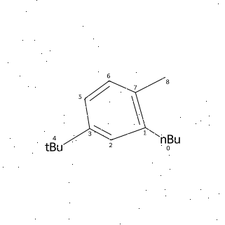 CCCCc1cc(C(C)(C)C)ccc1C